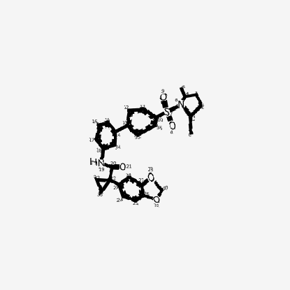 CC1CCC(C)N1S(=O)(=O)c1ccc(-c2cccc(NC(=O)C3(c4ccc5c(c4)OCO5)CC3)c2)cc1